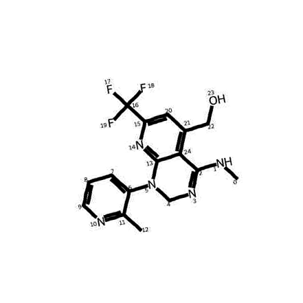 CNC1=NCN(c2cccnc2C)c2nc(C(F)(F)F)cc(CO)c21